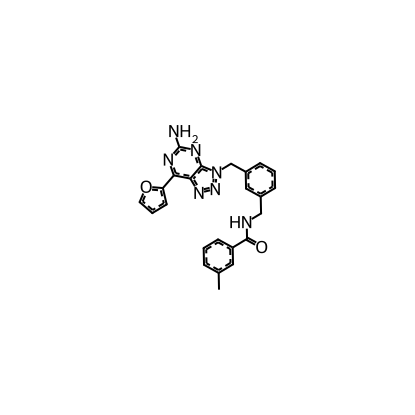 Cc1cccc(C(=O)NCc2cccc(Cn3nnc4c(-c5ccco5)nc(N)nc43)c2)c1